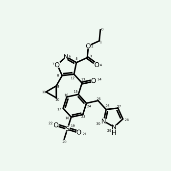 CCOC(=O)c1noc(C2CC2)c1C(=O)c1ccc(S(C)(=O)=O)cc1Cc1cc[nH]n1